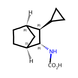 O=C(O)N[C@@H]1[C@H]2CC[C@H](C2)[C@H]1C1CC1